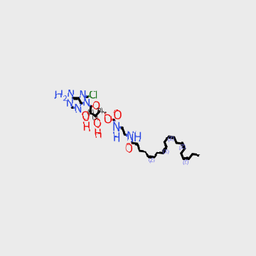 CC/C=C\C/C=C\C/C=C\C/C=C\C/C=C\CCCC(=O)NCCNC(=O)OC[C@H]1OC(n2c(Cl)nc3c(N)ncnc32)[C@H](O)[C@@H]1O